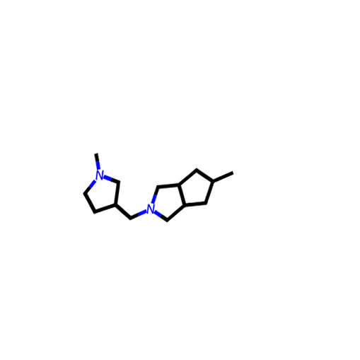 CC1CC2CN(CC3CCN(C)C3)CC2C1